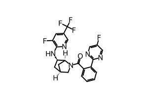 O=C(c1ccccc1-c1ncc(F)cn1)N1C[C@H]2C[C@@H](Nc3ncc(C(F)(F)F)cc3F)[C@@H]1C2